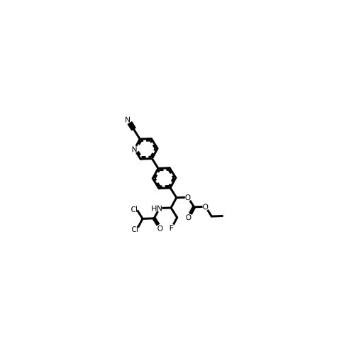 CCOC(=O)OC(c1ccc(-c2ccc(C#N)nc2)cc1)C(CF)NC(=O)C(Cl)Cl